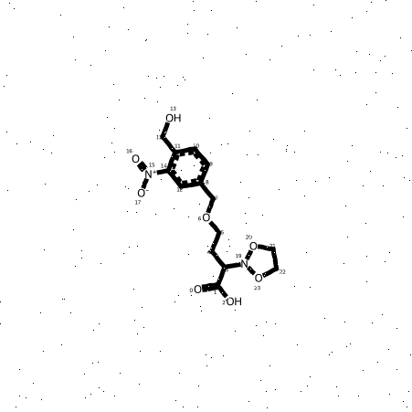 O=C(O)C(CCOCc1ccc(CO)c([N+](=O)[O-])c1)N1OCCO1